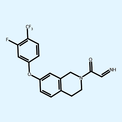 N=CC(=O)N1CCc2ccc(Oc3ccc(C(F)(F)F)c(F)c3)cc2C1